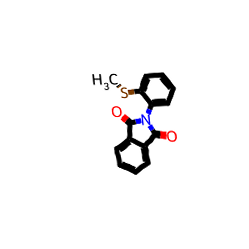 CSc1ccccc1N1C(=O)c2ccccc2C1=O